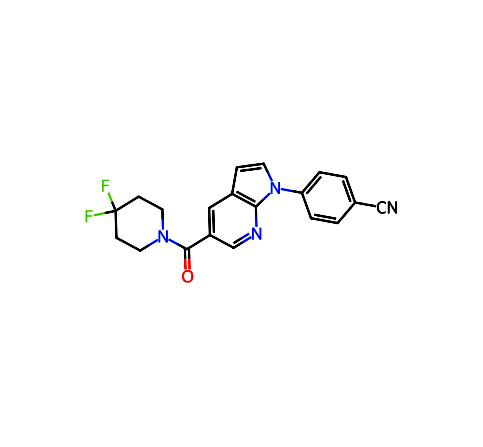 N#Cc1ccc(-n2ccc3cc(C(=O)N4CCC(F)(F)CC4)cnc32)cc1